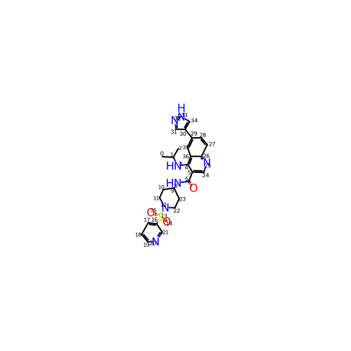 CC(C)Nc1c(C(=O)NC2CCN(S(=O)(=O)c3cccnc3)CC2)cnc2ccc(-c3cn[nH]c3)cc12